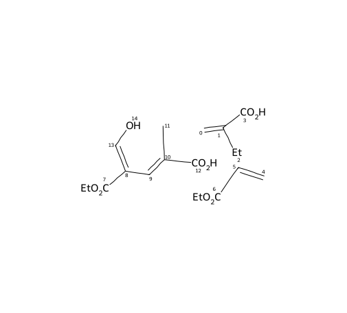 C=C(CC)C(=O)O.C=CC(=O)OCC.CCOC(=O)C(C=C(C)C(=O)O)=CO